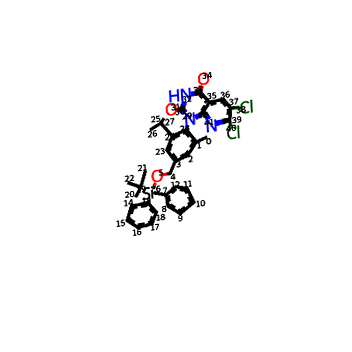 Cc1cc(CO[Si](c2ccccc2)(c2ccccc2)C(C)(C)C)cc(C(C)C)c1-n1c(=O)[nH]c(=O)c2cc(Cl)c(Cl)nc21